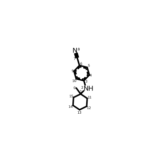 CC1(Nc2ccc(C#N)cc2)CCCCC1